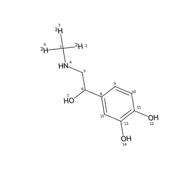 [2H]C([2H])([2H])NCC(O)c1ccc(O)c(O)c1